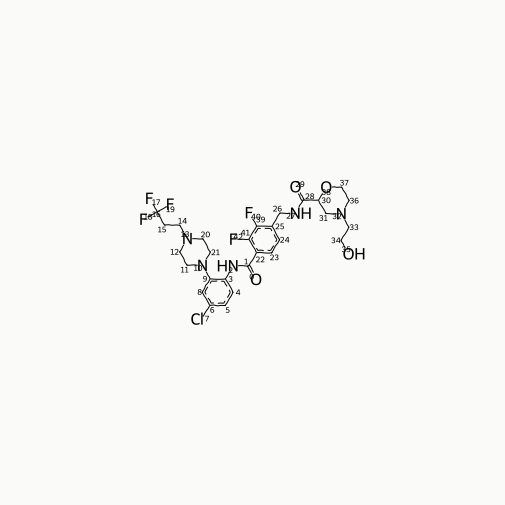 O=C(Nc1ccc(Cl)cc1N1CCN(CCC(F)(F)F)CC1)c1ccc(CNC(=O)C2CN(CCO)CCO2)c(F)c1F